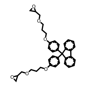 c1ccc2c(c1)-c1ccccc1C2(c1ccc(OCCCOCC2CO2)cc1)c1ccc(OCCCOCC2CO2)cc1